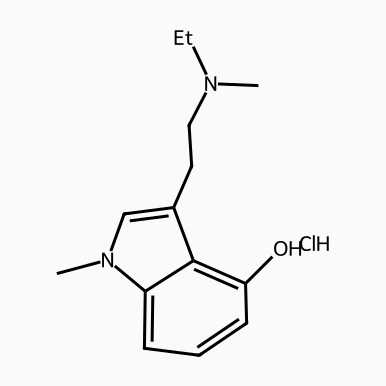 CCN(C)CCc1cn(C)c2cccc(O)c12.Cl